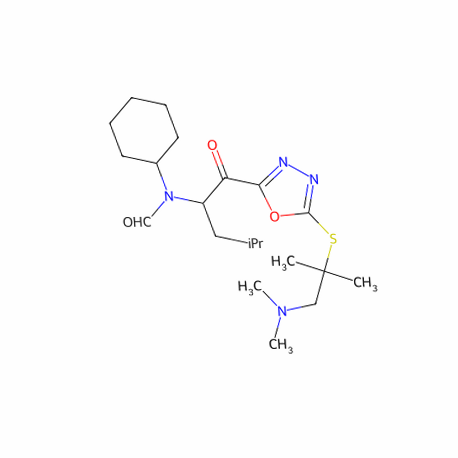 CC(C)CC(C(=O)c1nnc(SC(C)(C)CN(C)C)o1)N(C=O)C1CCCCC1